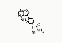 CCC(C)CN(C(N)=O)c1ccc(-c2csc3ncnc(N)c23)cc1